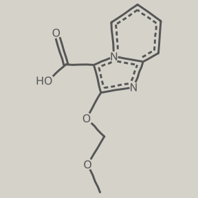 COCOc1nc2ccccn2c1C(=O)O